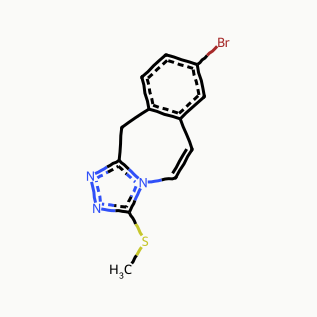 CSc1nnc2n1C=Cc1cc(Br)ccc1C2